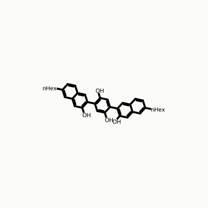 CCCCCCc1ccc2cc(-c3cc(O)c(-c4cc5ccc(CCCCCC)cc5cc4O)cc3O)c(O)cc2c1